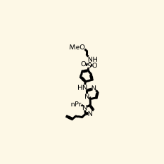 C=CCCc1ncc(-c2ccnc(Nc3ccc(S(=O)(=O)NCCOC)cc3)n2)n1CCC